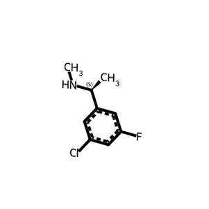 CN[C@@H](C)c1cc(F)cc(Cl)c1